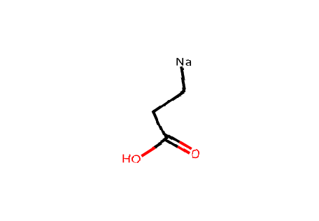 O=C(O)C[CH2][Na]